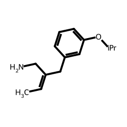 C/C=C(\CN)Cc1cccc(OC(C)C)c1